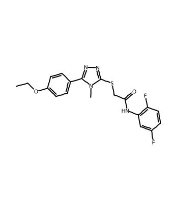 CCOc1ccc(-c2nnc(SCC(=O)Nc3cc(F)ccc3F)n2C)cc1